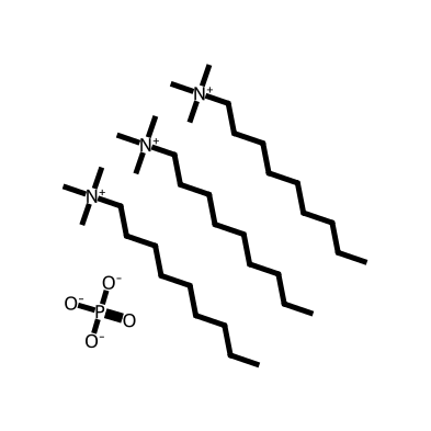 CCCCCCCCC[N+](C)(C)C.CCCCCCCCC[N+](C)(C)C.CCCCCCCCC[N+](C)(C)C.O=P([O-])([O-])[O-]